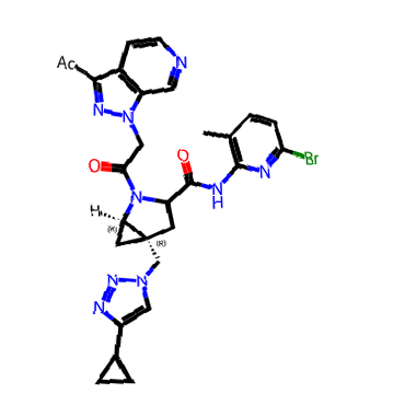 CC(=O)c1nn(CC(=O)N2C(C(=O)Nc3nc(Br)ccc3C)C[C@@]3(Cn4cc(C5CC5)nn4)C[C@@H]23)c2cnccc12